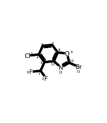 FC(F)c1c(Cl)ccc2oc(Br)nc12